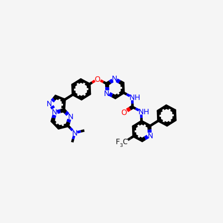 CN(C)c1ccn2ncc(-c3ccc(Oc4ncc(NC(=O)Nc5cc(C(F)(F)F)cnc5-c5ccccc5)cn4)cc3)c2n1